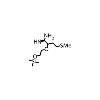 CSCCC(OCCO[Si](C)(C)C)C(=N)N